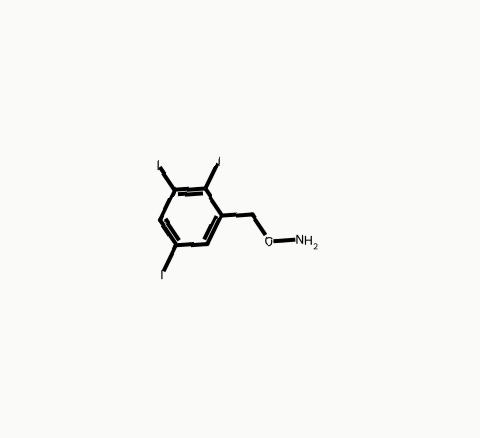 NOCc1cc(I)cc(I)c1I